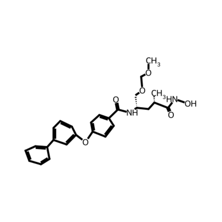 COCOC[C@H](C[C@H](C)C(=O)NO)NC(=O)c1ccc(Oc2cccc(-c3ccccc3)c2)cc1